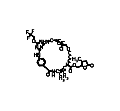 CC1=C(COC(=O)N2CCCOc3ccc(cc3Cl)CNc3nc(nc(OCC(F)(F)F)n3)Nc3ccc(cc3)C(=O)NCC(C)(C)C2)OC(=O)C1